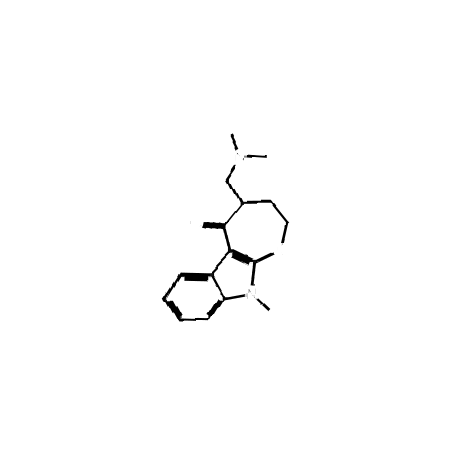 CN(C)CC1CCSc2c(c3ccccc3n2C)C1=O